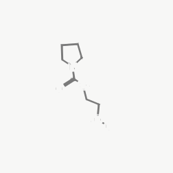 O=C(OCCOC(F)(F)F)N1CCCC1